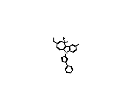 CCC1=CC(C)(F)c2c(n(C3=C=C(c4ccccc4)C=C3)c3ccc(C)cc23)C=C1